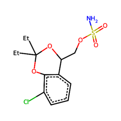 CCC1(CC)Oc2c(Cl)cccc2C(COS(N)(=O)=O)O1